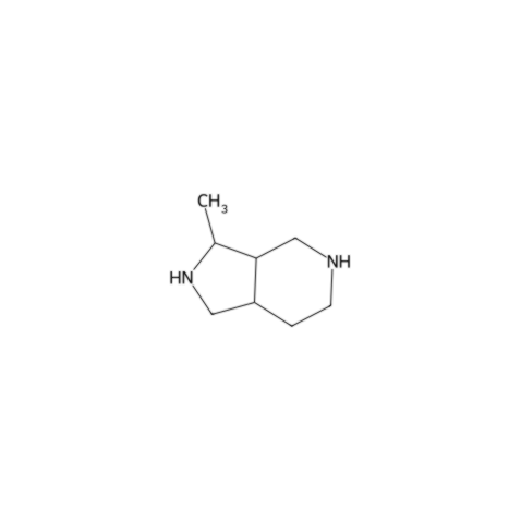 CC1NCC2CCNCC21